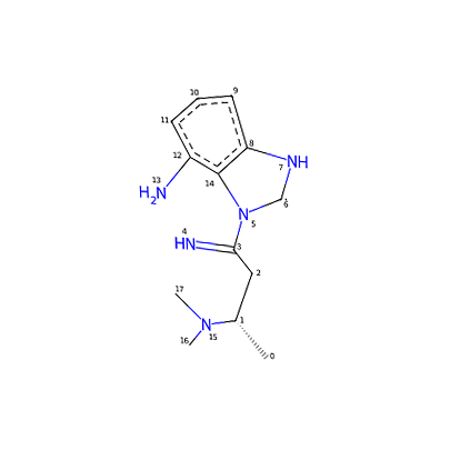 C[C@@H](CC(=N)N1[CH]Nc2cccc(N)c21)N(C)C